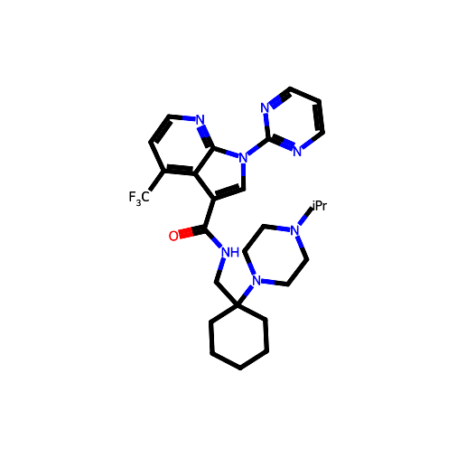 CC(C)N1CCN(C2(CNC(=O)c3cn(-c4ncccn4)c4nccc(C(F)(F)F)c34)CCCCC2)CC1